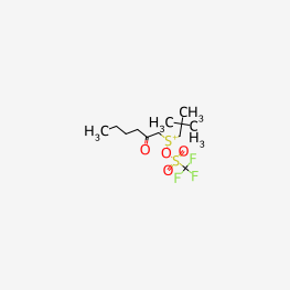 CCCCC(=O)C[S+](CC(C)(C)C)OS(=O)(=O)C(F)(F)F